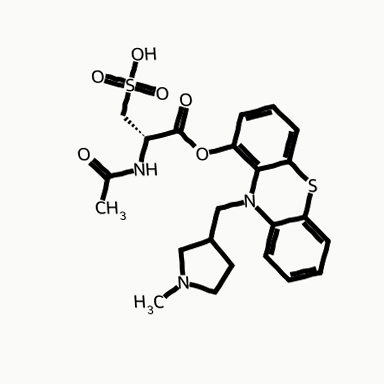 CC(=O)N[C@H](CS(=O)(=O)O)C(=O)Oc1cccc2c1N(CC1CCN(C)C1)c1ccccc1S2